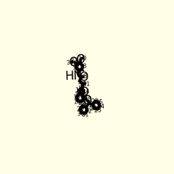 COc1ccc(NC(=O)C=C(C)c2cc3cccc(OC(c4ccccc4)c4ccccc4)c3o2)cc1OC